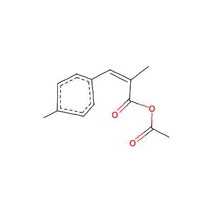 CC(=O)OC(=O)C(C)=Cc1ccc(C)cc1